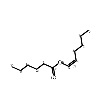 CCCC/C=C\OC(=O)CCCCC